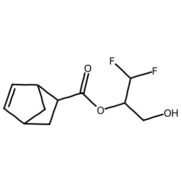 O=C(OC(CO)C(F)F)C1CC2C=CC1C2